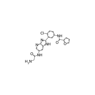 NCC(=O)Nc1cnc2nc(-c3cc(NC(=O)c4ccco4)ccc3Cl)[nH]c2c1